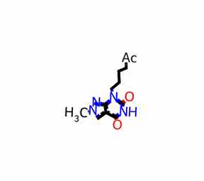 CC(=O)CCCCn1c(=O)[nH]c(=O)c2cn(C)nc21